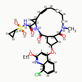 CCOc1cc(OC2CC3C(=O)NC4(C(=O)NS(=O)(=O)C5CC5)CC4/C=C\CCCCN(C)C(=O)C3C2)c2cccc(Cl)c2n1